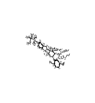 [2H]C1([2H])[C@H](N(C(=O)O)C(C)(C)C)[C@@H](c2cc(F)ccc2F)OC([2H])(C(F)(F)F)C1([2H])N1Cc2cn(S(=O)(=O)C([2H])([2H])[2H])nc2C1